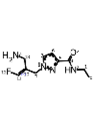 CCNC(=O)c1ccn(C/C(=C/F)CN)n1